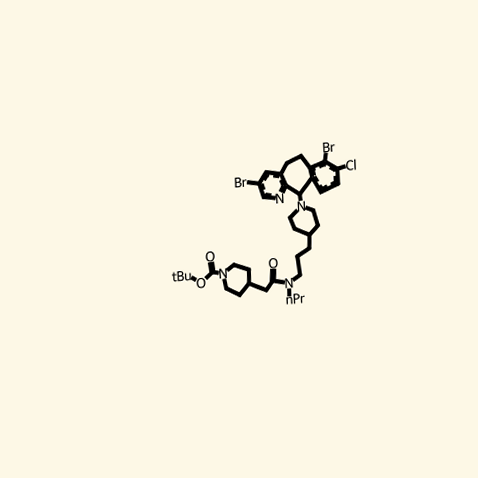 CCCN(CCCC1CCN(C2c3ccc(Cl)c(Br)c3CCc3cc(Br)cnc32)CC1)C(=O)CC1CCN(C(=O)OC(C)(C)C)CC1